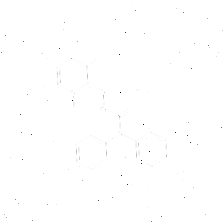 Cl.Cn1cccc(O)c1=NNC(=O)N(c1ccccc1)c1ccccc1